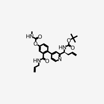 C=CCNC(=O)c1cc(OC(=O)NC)ccc1-c1ccnc([C@H](CC=C)NC(=O)OC(C)(C)C)c1